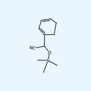 C[Si](C)(C)OC(C#N)C1=CC=CCC1